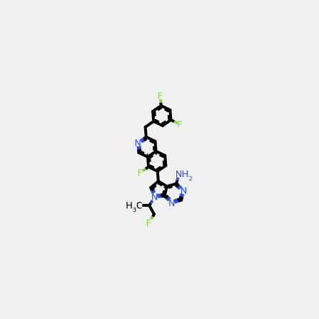 CC(CF)n1cc(-c2ccc3cc(Cc4cc(F)cc(F)c4)ncc3c2F)c2c(N)ncnc21